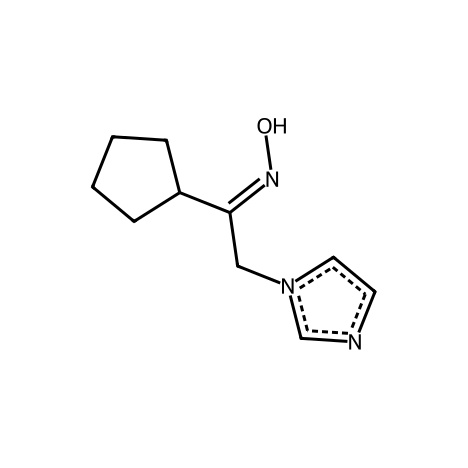 ON=C(Cn1ccnc1)C1CCCC1